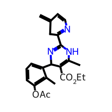 C=C1C=CN=C(C2=NC(c3cccc(OC(C)=O)c3C)C(C(=O)OCC)=C(C)N2)C1